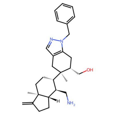 C=C1CC[C@H]2[C@H](CN)[C@@H]([C@@]3(C)Cc4cnn(Cc5ccccc5)c4C[C@@H]3CO)CC[C@]12C